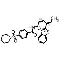 C=C(/C=C\C(=C/C)c1nc2ccccc2s1)NC(=O)c1ccc(S(=O)(=O)N2CCCCC2)cc1